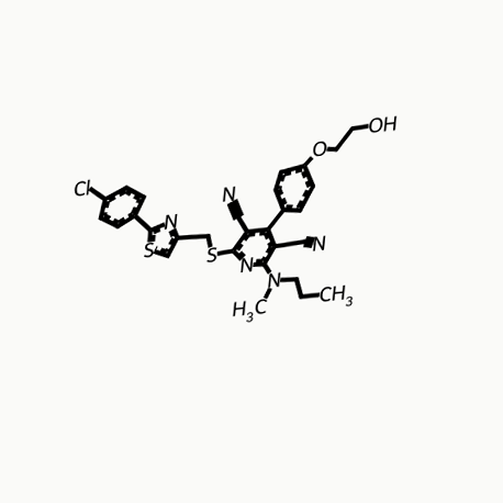 CCCN(C)c1nc(SCc2csc(-c3ccc(Cl)cc3)n2)c(C#N)c(-c2ccc(OCCO)cc2)c1C#N